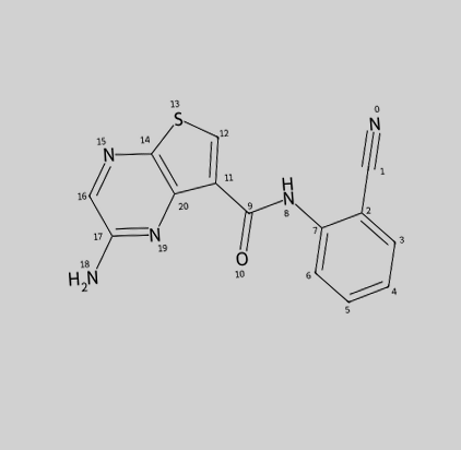 N#Cc1ccccc1NC(=O)c1csc2ncc(N)nc12